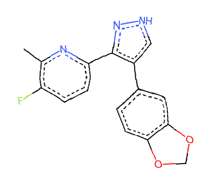 Cc1nc(-c2n[nH]cc2-c2ccc3c(c2)OCO3)ccc1F